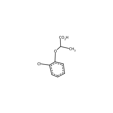 CC(Oc1ccccc1Cl)C(=O)O